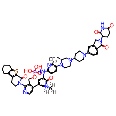 [2H]C([2H])([2H])n1cc(-c2ccnc(N3CCc4c(sc5c4CCCC5)C3=O)c2COP(=O)(O)O)cc(Nc2ccc(N3CCN(C4CCN(c5ccc6c(c5)CN(C5CCC(=O)NC5=O)C6=O)CC4)C[C@@H]3C)c(C(F)(F)F)n2)c1=O